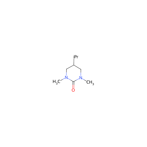 CC(C)C1CN(C)C(=O)N(C)C1